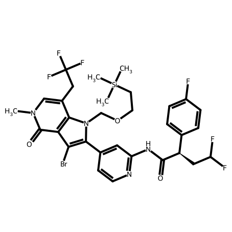 Cn1cc(CC(F)(F)F)c2c(c(Br)c(-c3ccnc(NC(=O)[C@H](CC(F)F)c4ccc(F)cc4)c3)n2COCC[Si](C)(C)C)c1=O